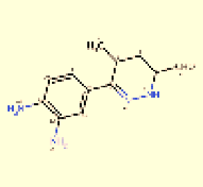 CC1CC(C=O)NN=C1c1ccc(N)c(N)c1